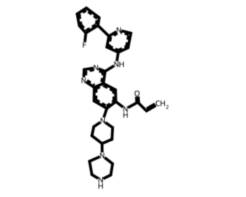 C=CC(=O)Nc1cc2c(Nc3ccnc(-c4ccccc4F)c3)ncnc2cc1N1CCC(N2CCNCC2)CC1